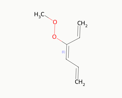 C=C/C=C(\C=C)OOC